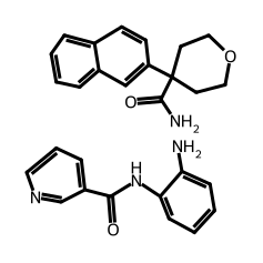 NC(=O)C1(c2ccc3ccccc3c2)CCOCC1.Nc1ccccc1NC(=O)c1cccnc1